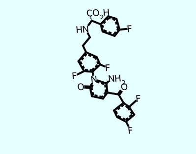 Nc1c(C(=O)c2ccc(F)cc2F)ccc(=O)n1-c1c(F)cc(CCN[C@H](C(=O)O)c2ccc(F)cc2)cc1F